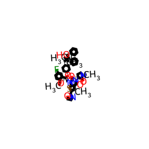 COc1ccc(F)cc1[C@H](Cn1c(=O)n([C@H]2CCN(C)C2=O)c(=O)c2c(C)c(-c3ncco3)sc21)O[C@H]1CC[C@@H](CC(C)(C)[Si](O)(c2ccccc2)c2ccccc2)CC1